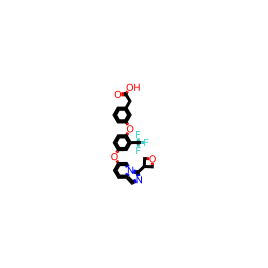 O=C(O)Cc1cccc(Oc2ccc(Oc3ccc4cnc(C5COC5)n4c3)cc2C(F)(F)F)c1